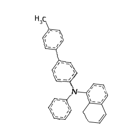 Cc1ccc(-c2ccc(N(c3ccccc3)c3cccc4c3CCC=C4)cc2)cc1